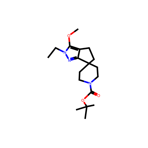 CCn1nc2c(c1OC)CCC21CCN(C(=O)OC(C)(C)C)CC1